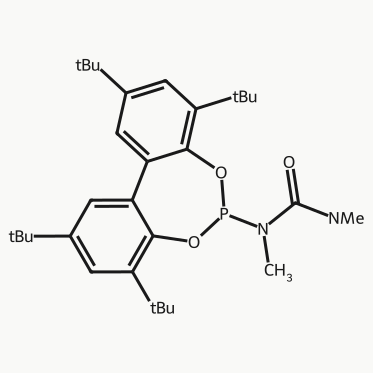 CNC(=O)N(C)p1oc2c(C(C)(C)C)cc(C(C)(C)C)cc2c2cc(C(C)(C)C)cc(C(C)(C)C)c2o1